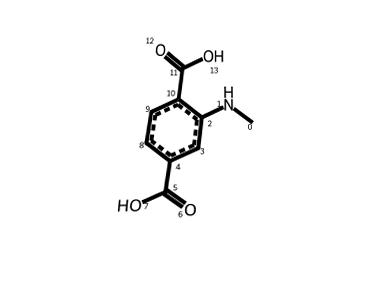 CNc1cc(C(=O)O)ccc1C(=O)O